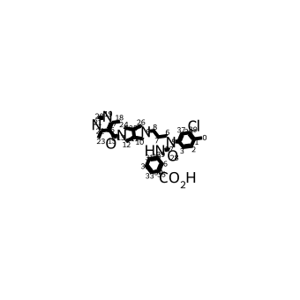 Cc1ccc(N(CCCN2CC3CN(C(=O)c4c(C)ncnc4C)CC3C2)C(=O)Nc2cccc(C(=O)O)c2)cc1Cl